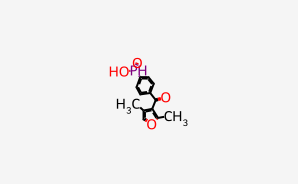 Cc1coc(C)c1C(=O)c1ccc([PH](=O)O)cc1